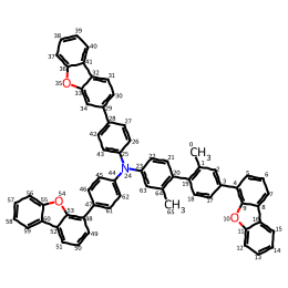 Cc1cc(-c2cccc3c2oc2ccccc23)ccc1-c1ccc(N(c2ccc(-c3ccc4c(c3)oc3ccccc34)cc2)c2ccc(-c3cccc4c3oc3ccccc34)cc2)cc1C